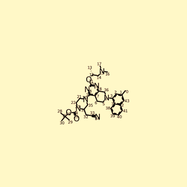 Cc1cc(N2CCc3c(nc(O[C@H](C)CN(C)C)nc3N3CCN(C(=O)OC(C)(C)C)C(CC#N)C3)C2)c2ccccc2c1